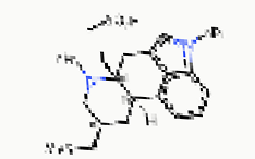 CCCN1C[C@H](CSC)C[C@@H]2c3cccc4c3c(cn4CCC)C[C@H]21.CS(=O)(=O)O